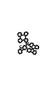 c1ccc2c(c1)-c1ccccc1-c1ccc(N(c3ccc4c(c3)C3(c5ccccc5-c5ccccc53)c3ccccc3-4)c3ccc4c(c3)sc3ccccc34)cc1-c1ccccc1-2